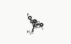 CCCCCS(=O)(=O)N[C@@H](C)[C@@H](Oc1ccc2c(cnn2-c2ccc(F)cc2)c1)c1ccccc1